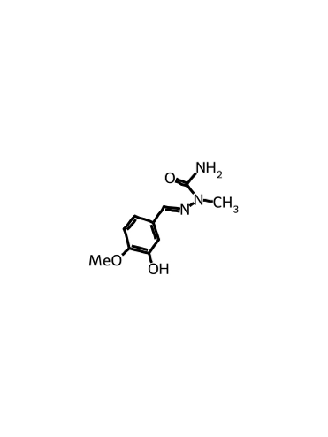 COc1ccc(C=NN(C)C(N)=O)cc1O